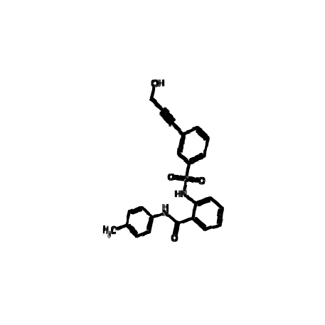 Cc1ccc(NC(=O)c2ccccc2NS(=O)(=O)c2cccc(C#CCO)c2)cc1